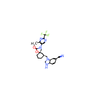 Cc1nc(C(F)(F)F)ncc1N1C[C@@]2(CCC[C@H](CN3CNC4C=CC(C#N)=CC43)C2)OC1=O